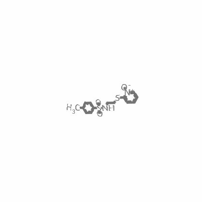 Cc1ccc(S(=O)(=O)NCCSc2cccc[n+]2[O-])cc1